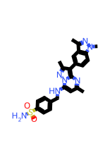 Cc1cc(NCc2ccc(S(N)(=O)=O)cc2)n2nc(C)c(-c3ccc4c(c3)c(C)nn4C)c2n1